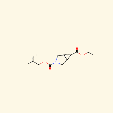 CCOC(=O)C1C2CN(C(=O)OCC(C)C)CC21